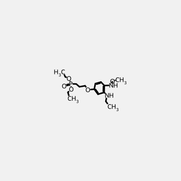 CCNc1cc(OCCCP(=O)(OCC)OCC)ccc1NOC